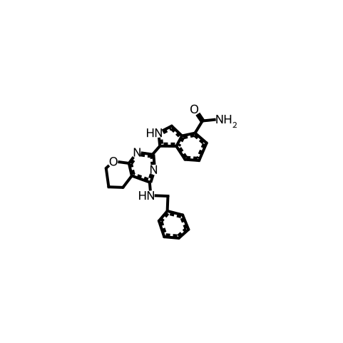 NC(=O)c1cccc2c(-c3nc(NCc4ccccc4)c4c(n3)OCCC4)[nH]cc12